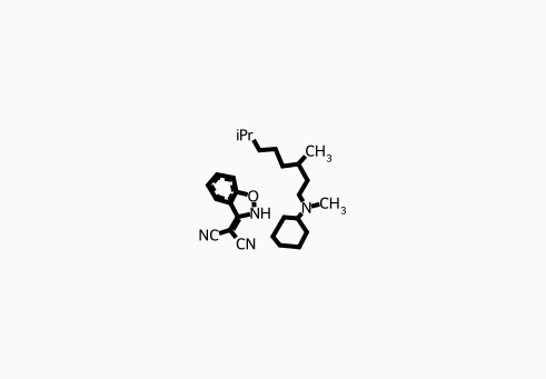 CC(C)CCCC(C)CCN(C)C1CCCCC1.N#CC(C#N)=C1NOc2ccccc21